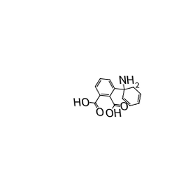 NC1(c2cccc(C(=O)O)c2C(=O)O)C=CC=CC1